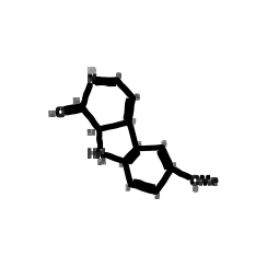 COc1ccc2c(c1)C1=CC=NC(=O)C1N2